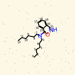 CCCCCCN(CCCCCC)C(=O)c1ccccc1C=N